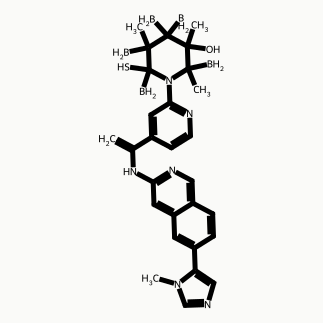 BC1(C)N(c2cc(C(=C)Nc3cc4cc(-c5cncn5C)ccc4cn3)ccn2)C(B)(S)C(B)(C)C(B)(B)C1(C)O